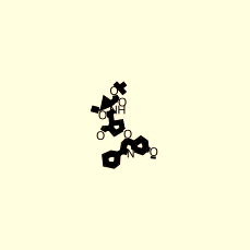 C=C[C@@H]1C[C@]1(NC(=O)C1CC(Oc2cc(-c3ccccc3)nc3cc(OC)ccc23)C=C1C=O)C(=O)OC(C)(C)C